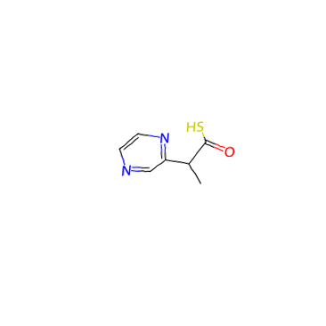 CC(C(=O)S)c1cnccn1